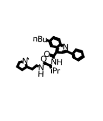 CCCCc1ccc2nc(-c3ccccc3)cc(C(=O)NC(C(=O)NCCC3CCCN3C)C(C)C)c2c1